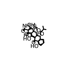 CC(C)C(=O)O[C@@H]1[C@@H]2C(=C(O)[C@]3(O)C(=O)C(C(N)=O)=C(O)[C@H](N(C)C)[C@@H]13)C(=O)c1c(O)cccc1[C@H]2C